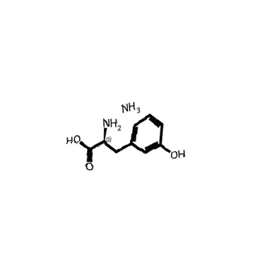 N.N[C@@H](Cc1cccc(O)c1)C(=O)O